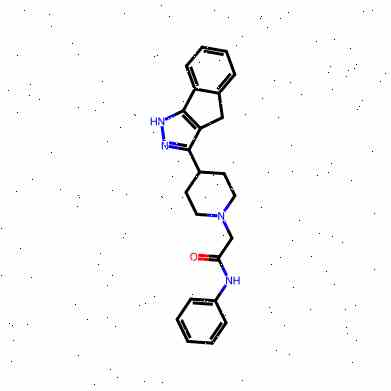 O=C(CN1CCC(c2n[nH]c3c2Cc2ccccc2-3)CC1)Nc1ccccc1